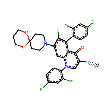 CCOC(=O)c1cn(-c2ccc(F)cc2F)c2cc(N3CCC4(CC3)OCCCO4)c(F)c(-c3ccc(F)cc3F)c2c1=O